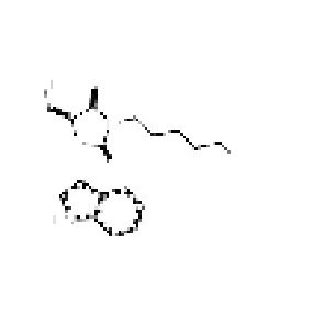 CC=C1SC(=S)N(CCCCCC(=O)O)C1=O.c1ccc2[nH]ccc2c1